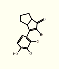 O=C1C(Br)=C(c2ccc(O)c(Cl)c2Cl)C2CCCC12